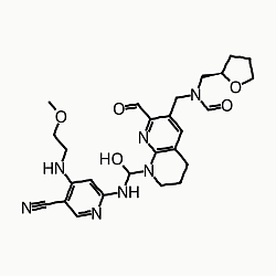 COCCNc1cc(NC(O)N2CCCc3cc(CN(C=O)C[C@H]4CCCO4)c(C=O)nc32)ncc1C#N